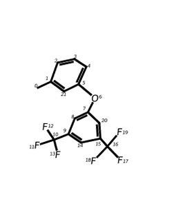 Cc1cccc(Oc2cc(C(F)(F)F)cc(C(F)(F)F)c2)c1